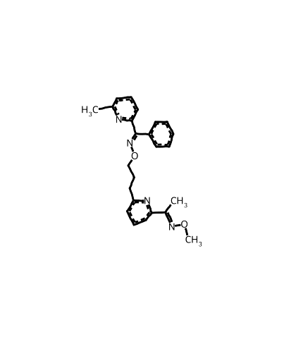 CO/N=C(\C)c1cccc(CCCO/N=C(\c2ccccc2)c2cccc(C)n2)n1